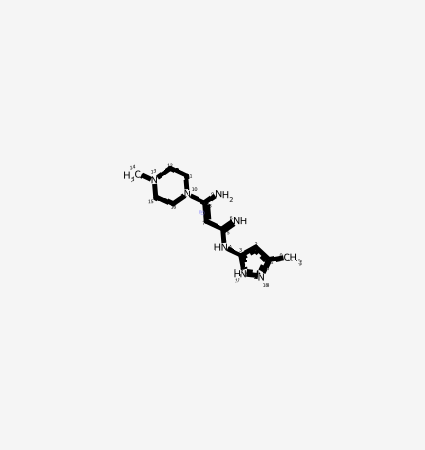 Cc1cc(NC(=N)/C=C(\N)N2CCN(C)CC2)[nH]n1